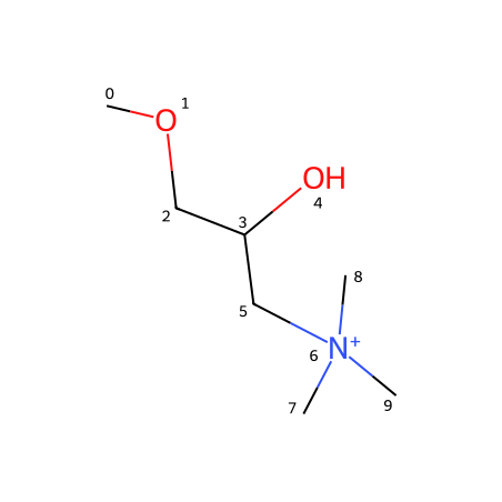 COCC(O)C[N+](C)(C)C